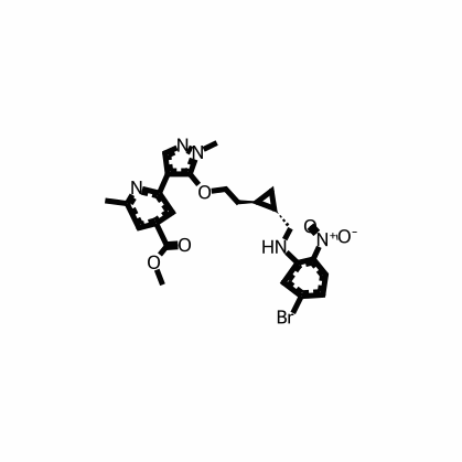 COC(=O)c1cc(C)nc(-c2cnn(C)c2OCC[C@H]2C[C@@H]2CNc2cc(Br)ccc2[N+](=O)[O-])c1